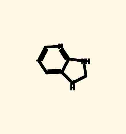 [c]1cnc2c(c1)NCN2